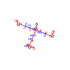 CC(=O)NC1C(OCCCCC(=O)NCCCNC(=O)CCOCC(COCCC(=O)NCCCNC(=O)CCCCOC2OC(COC(C)=O)C(C)C(C)C2C)(COCCC(=O)NCCCNC(=O)CCCCOC2OC(COC(C)=O)C(C)C(C)C2C)NC(=O)OCc2ccccc2)OC(COC(C)=O)C(C)C1C